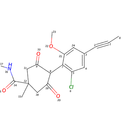 CC#Cc1cc(Cl)c(C2C(=O)CC(C)(C(=O)NC)CC2=O)c(OC)c1